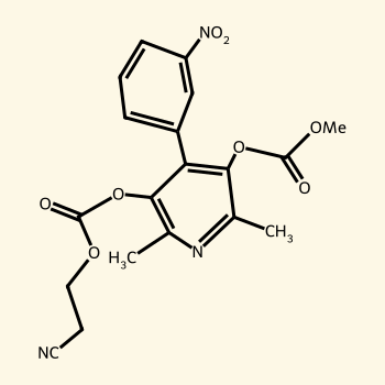 COC(=O)Oc1c(C)nc(C)c(OC(=O)OCCC#N)c1-c1cccc([N+](=O)[O-])c1